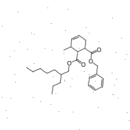 CCCCCC(CCC)COC(=O)C1C(C)C=CCC1C(=O)OCc1ccccc1